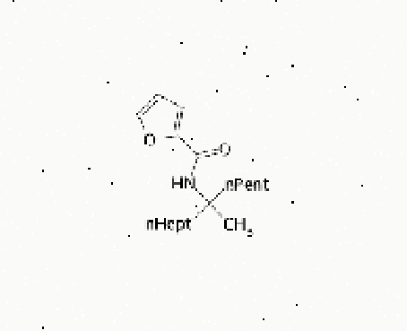 CCCCCCCC(C)(CCCCC)NC(=O)c1ccco1